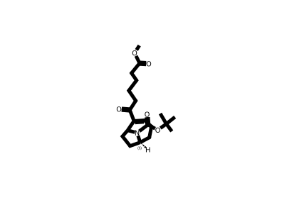 COC(=O)CCCCC(=O)C1=CCC[C@H]2CCC1N2C(=O)OC(C)(C)C